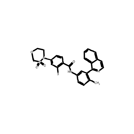 Cc1ccc(NC(=O)c2ccc(N3CCOCS3(=O)=O)cc2F)cc1-c1nccc2ccccc12